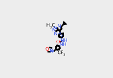 Cn1nc(N)c2c(-c3ccc(NC(=O)Nc4ccc(CN5CCOCC5)c(C(F)(F)F)c4)cc3)cc(C3CC3)nc21